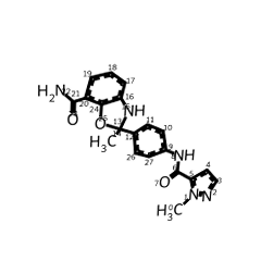 Cn1nccc1C(=O)Nc1ccc(C2(C)Nc3cccc(C(N)=O)c3O2)cc1